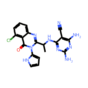 CC(Nc1nc(N)nc(N)c1C#N)c1nc2cccc(Cl)c2c(=O)n1-c1ccc[nH]1